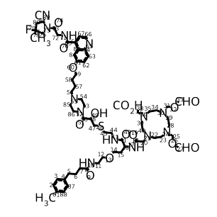 Cc1ccc(CCCC(=O)NCCOCCC(NC(=O)CN2CCN(COC=O)CCN(COC=O)CCN(CC(=O)O)CC2)C(=O)NCCSC[C@@H](O)C(=O)N2CCN(CCCCOc3ccc4nccc(C(=O)NCC(=O)N5CC(C)(F)C[C@@H]5C#N)c4c3)CC2)cc1